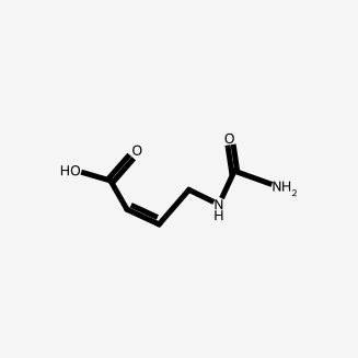 NC(=O)NC/C=C\C(=O)O